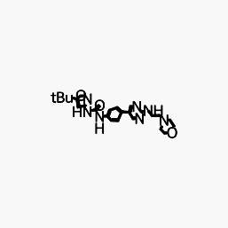 CC(C)(C)c1cc(NC(=O)Nc2ccc(-c3cnc(NCCN4CCOCC4)nc3)cc2)no1